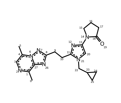 Cc1ncc(C)n2nc(CCc3nc(N4CCCC4=O)cn3CC3CC3)nc12